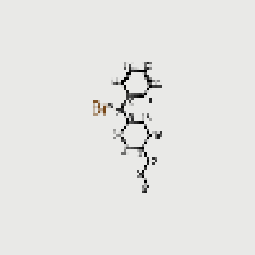 CCCC1CCC(C(Br)c2ccccc2)CC1